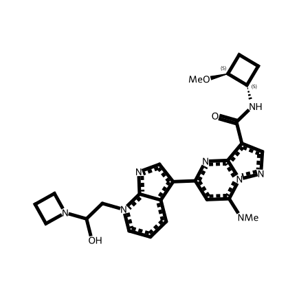 CNc1cc(-c2cnc3n(CC(O)N4CCC4)cccc2-3)nc2c(C(=O)N[C@H]3CC[C@@H]3OC)cnn12